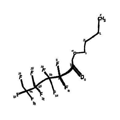 CCCCOC(=O)C(F)(F)C(F)(F)C(F)(F)C(F)(F)F